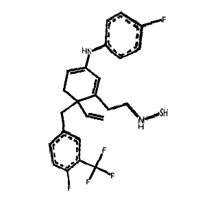 C=CC1(Cc2ccc(F)c(C(F)(F)F)c2)CC=C(Nc2ccc(F)cc2)C=C1CCNS